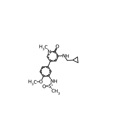 COc1ccc(-c2cc(NCC3CC3)c(=O)n(C)c2)cc1N[S+](C)[O-]